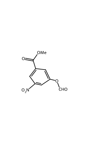 COC(=O)c1cc(OC=O)cc([N+](=O)[O-])c1